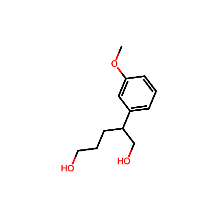 COc1cccc(C(CO)CCCO)c1